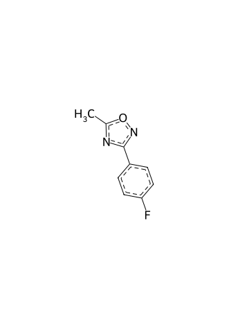 Cc1nc(-c2ccc(F)cc2)no1